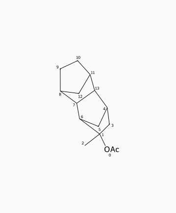 CC(=O)OC1(C)CC2CC1C1C3CCC(C3)C21